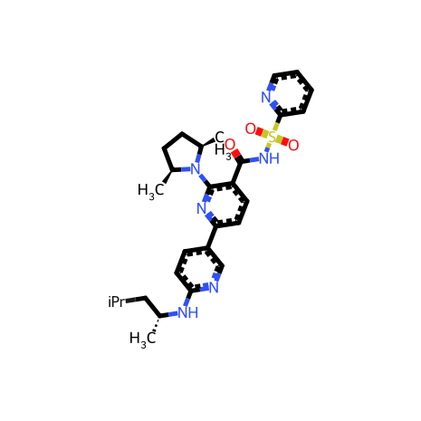 CC(C)C[C@@H](C)Nc1ccc(-c2ccc(C(=O)NS(=O)(=O)c3ccccn3)c(N3[C@H](C)CC[C@@H]3C)n2)cn1